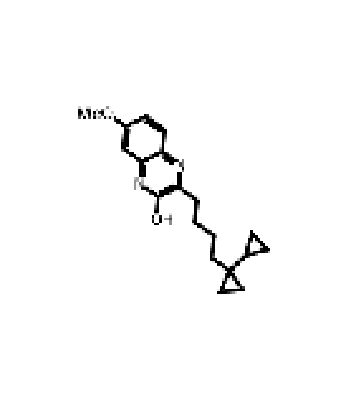 COc1ccc2nc(CCCCC3(C4CC4)CC3)c(O)nc2c1